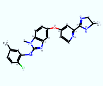 Cn1c(Nc2cc(C(F)(F)F)ccc2Cl)nc2cc(Oc3ccnc(C4=NCC(C(F)(F)F)N4)c3)ccc21